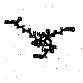 CCC(C)(CC(C)(CC(C)(C)C(=O)NCCCCCC(=O)NC)C(=O)OCCCC=O)C(=O)NCC=O